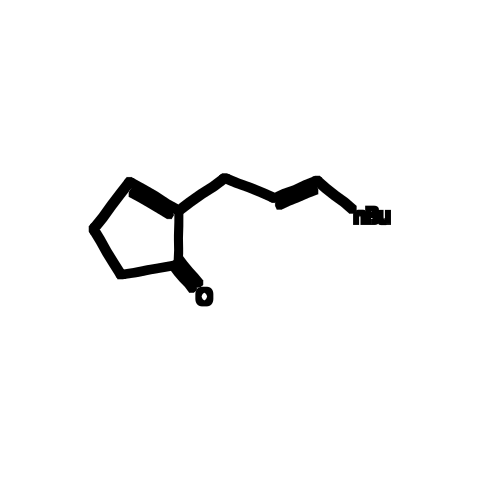 CCCCC=CCC1=CCCC1=O